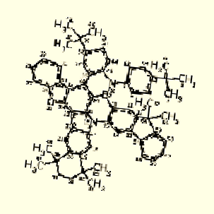 CC(C)(C)c1ccc(N2B3c4cc5c(cc4-n4c6cc7c(cc6c6c8oc9ccccc9c8c(c3c64)-c3cc(C(C)(C)C)ccc32)C(C)(C)CCC7(C)C)-c2ccccc2C5(C)C)cc1